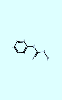 O=C(CBr)Sc1ccccc1